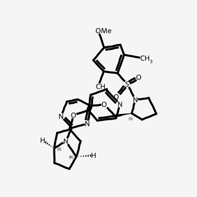 COc1cc(C)c(S(=O)(=O)N2CCC[C@H]2COc2ccnc(N3[C@@H]4CC[C@H]3CC(Oc3ccncc3)C4)n2)c(C)c1